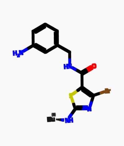 CC[C@@H](C)Nc1nc(Br)c(C(=O)NCc2cccc(N)c2)s1